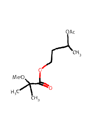 COC(C)(C)C(=O)OCC[C](C)OC(C)=O